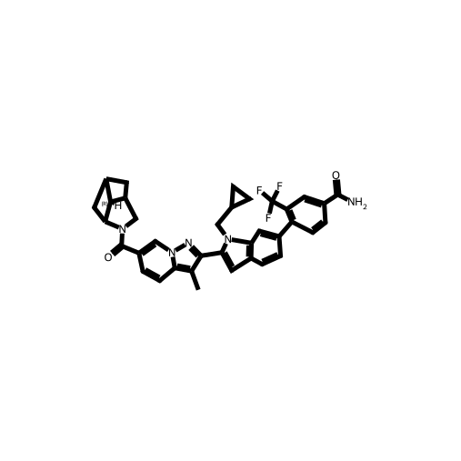 Cc1c(-c2cc3ccc(-c4ccc(C(N)=O)cc4C(F)(F)F)cc3n2CC2CC2)nn2cc(C(=O)N3CC4CC5CC3[C@H]54)ccc12